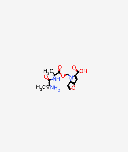 C[C@H](N)C(=O)N[C@@H](C)C(=O)OCn1c(C(=O)O)cc2occc21